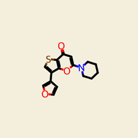 O=c1cc(N2CCCCC2)oc2c(-c3ccoc3)csc12